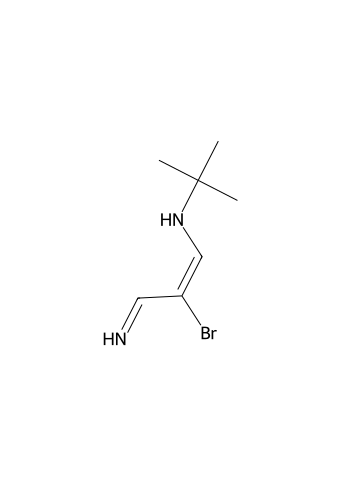 CC(C)(C)N/C=C(/Br)C=N